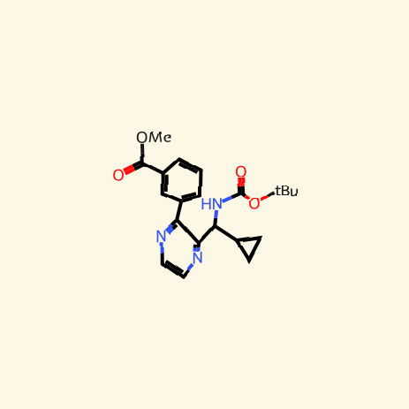 COC(=O)c1cccc(-c2nccnc2C(NC(=O)OC(C)(C)C)C2CC2)c1